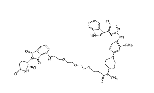 COc1cc(N2CCC(N(C)C(=O)CCOCCOCCOCCNc3cccc4c3C(=O)N(C3CCC(=O)NC3=O)C4=O)CC2)ccc1Nc1ncc(Cl)c(-c2c[nH]c3ccccc23)n1